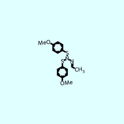 CC=NN(Sc1ccc(OC)cc1)Sc1ccc(OC)cc1